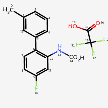 Cc1cccc(-c2ccc(F)cc2NC(=O)O)c1.O=C(O)C(F)(F)F